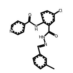 Cc1cccc(C=NNC(=O)c2cc(Cl)ccc2NC(=O)c2ccncc2)c1